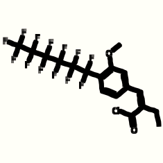 CCC(=Cc1ccc(C(F)(F)C(F)(F)C(F)(F)C(F)(F)C(F)(F)C(F)(F)F)c(OC)c1)C(=O)Cl